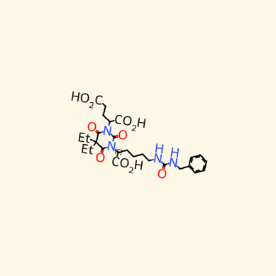 CCC1(CC)C(=O)N(C(CCC(=O)O)C(=O)O)C(=O)N([C@@H](CCCCNC(=O)NCc2ccccc2)C(=O)O)C1=O